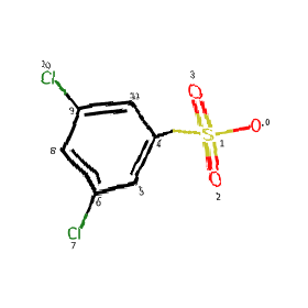 [O]S(=O)(=O)c1cc(Cl)cc(Cl)c1